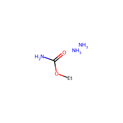 CCOC(N)=O.N.N